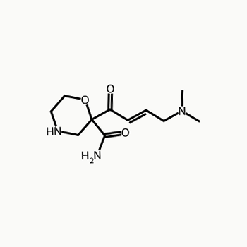 CN(C)CC=CC(=O)C1(C(N)=O)CNCCO1